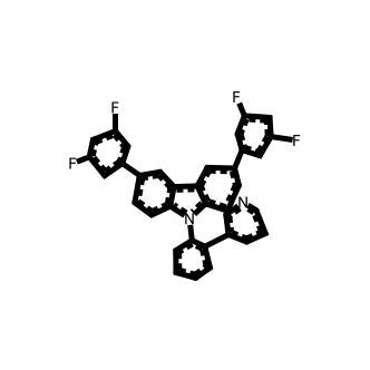 Fc1cc(F)cc(-c2ccc3c(c2)c2cc(-c4cc(F)cc(F)c4)ccc2n3-c2ccccc2-c2cccnc2)c1